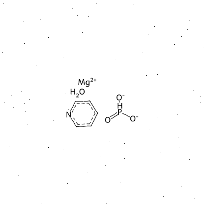 O.O=[PH]([O-])[O-].[Mg+2].c1ccncc1